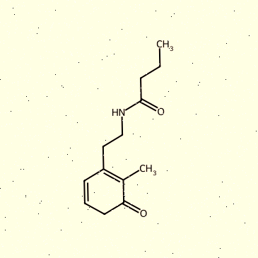 CCCC(=O)NCCC1=C(C)C(=O)CC=C1